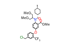 COCC(COC)N(c1ccc(Oc2ccc(CCl)cc2C(F)(F)F)cc1C(=O)OC)C(=O)[C@H]1CC[C@H](C)CC1